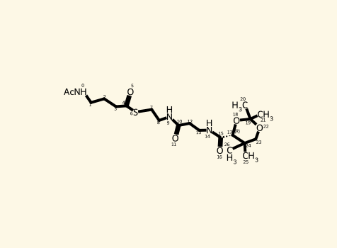 CC(=O)NCCCC(=O)SCCNC(=O)CCNC(=O)[C@@H]1OC(C)(C)OCC1(C)C